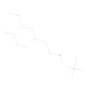 CC(C)c1cc(CNC(=O)OC(C)(C)C)ccc1F